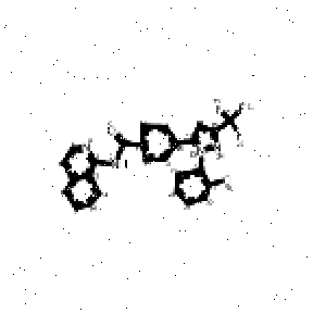 O=C(Nc1nccc2ccccc12)c1ccc(-c2cc(C(F)(F)F)nn2-c2ccccc2Cl)cc1